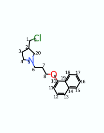 ClCC1CCN(CCCOc2cccc3ccccc23)C1